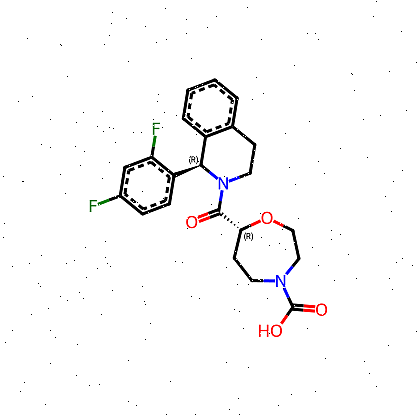 O=C(O)N1CCO[C@@H](C(=O)N2CCc3ccccc3[C@@H]2c2ccc(F)cc2F)CC1